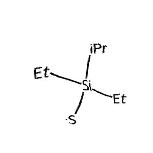 CC[Si]([S])(CC)C(C)C